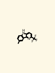 Cc1ccc2[nH]c3ccc(C(F)(F)F)nc3c2c1